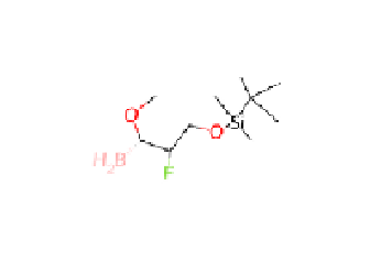 B[C@H](OC)C(F)CO[Si](C)(C)C(C)(C)C